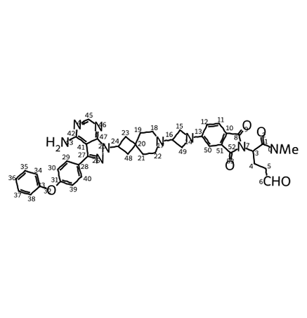 CNC(=O)C(CCC=O)N1C(=O)c2ccc(N3CC(N4CCC5(CC4)CC(n4nc(-c6ccc(Oc7ccccc7)cc6)c6c(N)ncnc64)C5)C3)cc2C1=O